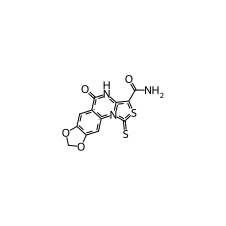 NC(=O)c1sc(=S)n2c1[nH]c(=O)c1cc3c(cc12)OCO3